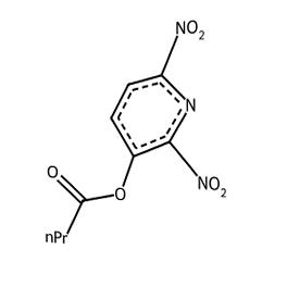 CCCC(=O)Oc1ccc([N+](=O)[O-])nc1[N+](=O)[O-]